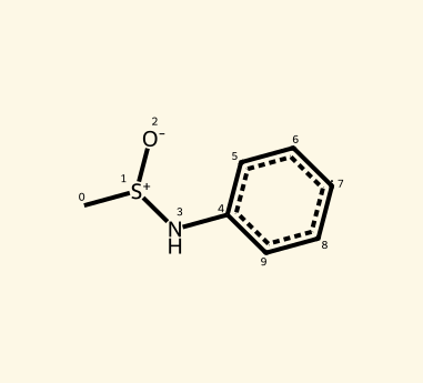 C[S+]([O-])Nc1cc[c]cc1